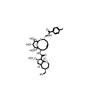 CC(C)C[C@@H]1CCO[C@H]2C(C(=O)N[C@@H]3C/C=C\C[C@@H](CNC(=O)c4ccc(F)cc4)S[C@H]4O[C@H]3[C@H](O)[C@H](O)[C@H]4O)N(C(=O)O)C[C@@H]2C1